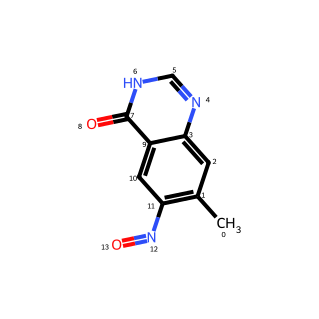 Cc1cc2nc[nH]c(=O)c2cc1N=O